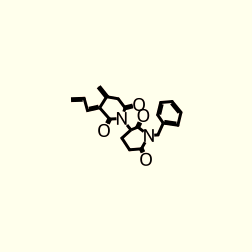 C=C/C=C1\C(=C)CC(=O)N(C2CCC(=O)N(Cc3ccccc3)C2=O)C1=O